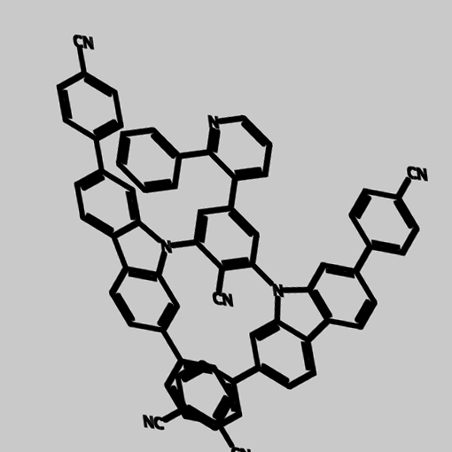 N#Cc1ccc(-c2ccc3c4ccc(-c5ccc(C#N)cc5)cc4n(-c4cc(-c5cccnc5-c5ccccc5)cc(-n5c6cc(-c7ccc(C#N)cc7)ccc6c6ccc(-c7ccc(C#N)cc7)cc65)c4C#N)c3c2)cc1